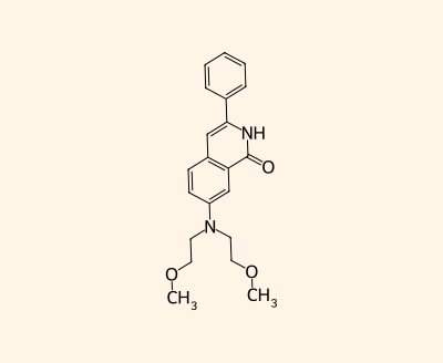 COCCN(CCOC)c1ccc2cc(-c3ccccc3)[nH]c(=O)c2c1